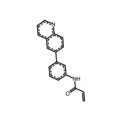 C=CC(=O)Nc1cccc(-c2ccc3ncccc3c2)c1